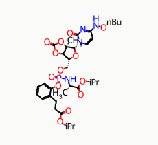 CCCCONc1ccn([C@@H]2O[C@H](COP(=O)(N[C@@H](C)C(=O)OC(C)C)Oc3ccccc3CCC(=O)OC(C)C)C3OC(=O)O[C@]32C)c(=O)n1